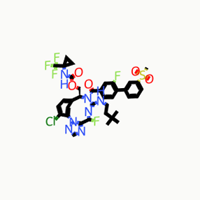 CC(C)(C)CCN/C1=N\C(F)c2ncnn2-c2cc(ccc2Cl)[C@@H](COC(=O)NC2(C(F)(F)F)CC2)N1C(=O)c1ccc(-c2cccc(S(C)(=O)=O)c2)c(F)c1